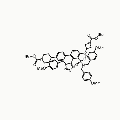 COc1ccc(CN(Cc2ccc(OC)cc2)S(=O)(=O)c2c([S+]([O-])C3CN(C(=O)OC(C)(C)C)C3)ccc(-c3ccc(C4CCN(C(=O)OC(C)(C)C)CC4)cc3)c2-c2nnnn2Cc2ccc(OC)cc2)cc1